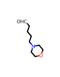 O=CCCCCN1CCOCC1